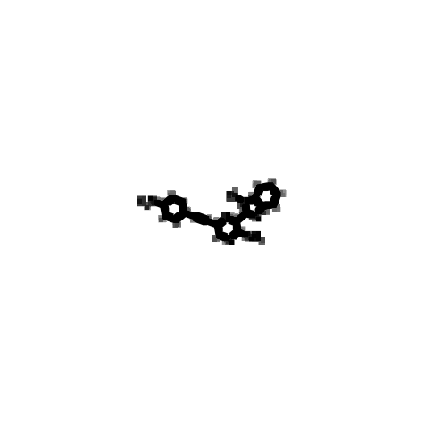 CCn1c(-c2nc(C#Cc3ccc(N)cc3)cnc2N)nc2ccccc21